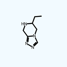 CCC1Cn2cnnc2CN1